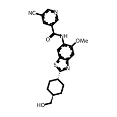 COc1cc2nc([C@H]3CC[C@H](CO)CC3)sc2cc1NC(=O)c1cncc(C#N)c1